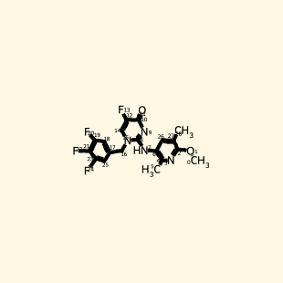 COc1nc(C)c(Nc2nc(=O)c(F)cn2Cc2cc(F)c(F)c(F)c2)cc1C